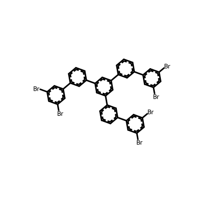 Brc1cc(Br)cc(-c2cccc(-c3cc(-c4cccc(-c5cc(Br)cc(Br)c5)c4)cc(-c4cccc(-c5cc(Br)cc(Br)c5)c4)c3)c2)c1